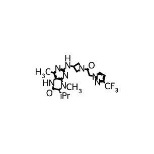 Cc1nc(NC2CN(C(=O)Cn3ccc(C(F)(F)F)n3)C2)nc2c1NC(=O)[C@H](C(C)C)N2C